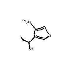 CC(S)c1cscc1N